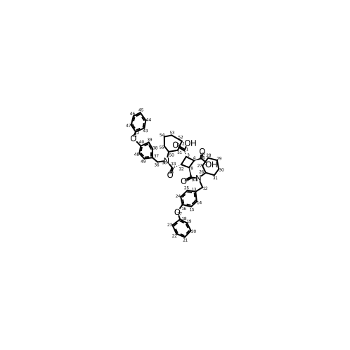 O=C(O)[C@@H]1[C@@H](C(=O)O)[C@@H](C(=O)N(Cc2ccc(Oc3ccccc3)cc2)C2CCCCC2)[C@@H]1C(=O)N(Cc1ccc(Oc2ccccc2)cc1)C1CCCCC1